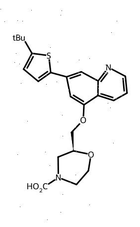 CC(C)(C)c1ccc(-c2cc(OC[C@@H]3CN(C(=O)O)CCO3)c3cccnc3c2)s1